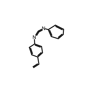 C=Cc1ccc(N=C=Nc2ccccc2)cc1